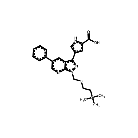 C[Si](C)(C)CCOCn1nc(-c2c[nH]c(C(=O)O)c2)c2cc(-c3ccccc3)cnc21